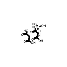 O=C(O)CC(=O)O.O=C(O)CC(=O)O.OB(O)O.[LiH]